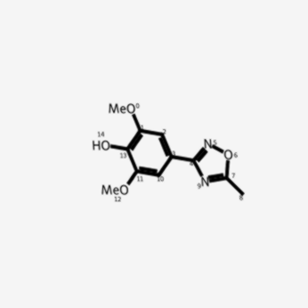 COc1cc(-c2noc(C)n2)cc(OC)c1O